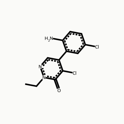 CCn1ncc(-c2cc(Cl)ccc2N)c(Cl)c1=O